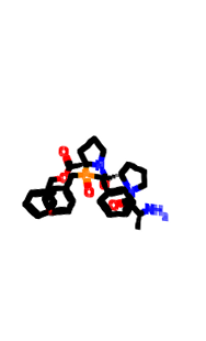 C[C@H](N)C(=O)N1CCC[C@H]1C(=O)N1CCC[C@@]1(C(=O)OCc1ccccc1)P(=O)(Cc1ccccc1)Cc1ccccc1